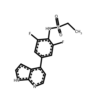 CCS(=O)(=O)Nc1c(F)cc(-c2ccnc3[nH]ccc23)cc1F